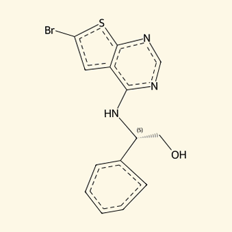 OC[C@@H](Nc1ncnc2sc(Br)cc12)c1ccccc1